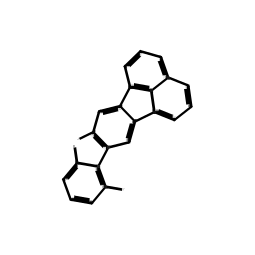 Clc1cccc2oc3cc4c(cc3c12)-c1cccc2cccc-4c12